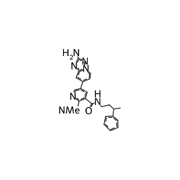 CNc1ncc(-c2ccn3nc(N)nc3c2)cc1C(=O)NCCC(C)c1ccccc1